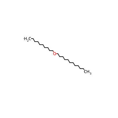 [CH2]CCCCCCCCCOCCCCCCCCCCCC